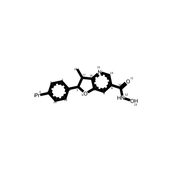 CC(C)c1ccc(C2Oc3cc(C(=O)NO)cnc3C2C)cc1